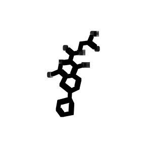 O=C(O)CNC(=O)c1nc(Cl)c2cc(-c3ccccc3)ccc2c1O